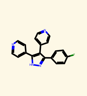 Fc1ccc(-c2n[nH]c(-c3ccncc3)c2-c2ccncc2)cc1